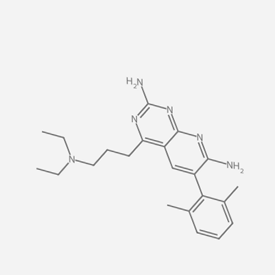 CCN(CC)CCCc1nc(N)nc2nc(N)c(-c3c(C)cccc3C)cc12